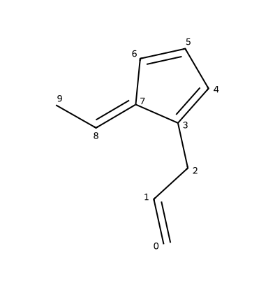 C=CCC1=CC=CC1=CC